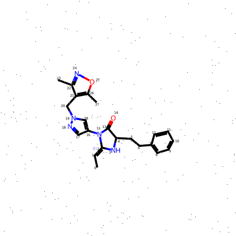 C/C=C1\NC(CCc2ccccc2)C(=O)N1c1cnn(Cc2c(C)noc2C)c1